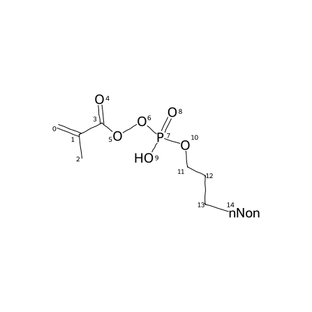 C=C(C)C(=O)OOP(=O)(O)OCCCCCCCCCCCC